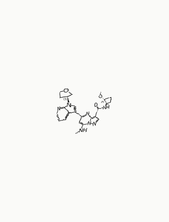 CNc1cc(-c2cn([C@H]3CCOC3)c3ncccc23)nc2c(C(=O)N[C@@H]3CC[C@H]3OC)cnn12